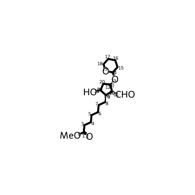 COC(=O)CCCCCC[C@@H]1[C@@H](C=O)[C@H](OC2CCCCO2)C[C@@H]1O